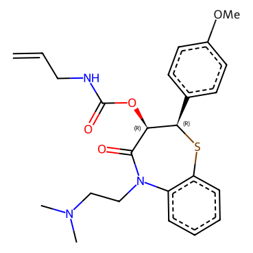 C=CCNC(=O)O[C@@H]1C(=O)N(CCN(C)C)c2ccccc2S[C@@H]1c1ccc(OC)cc1